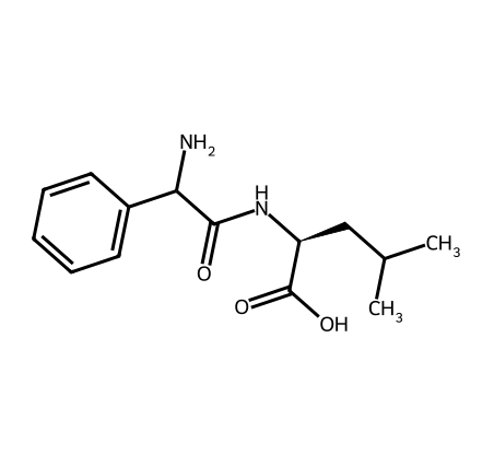 CC(C)C[C@H](NC(=O)C(N)c1ccccc1)C(=O)O